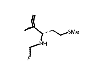 C=C(C)[C@H](CCSC)NCF